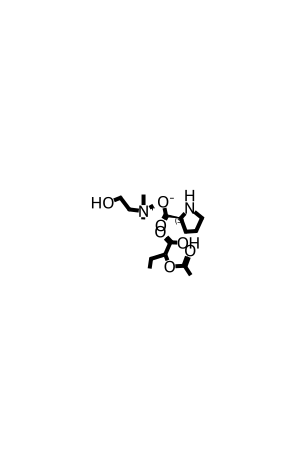 CCC(OC(C)=O)C(=O)O.C[N+](C)(C)CCO.O=C([O-])[C@@H]1CCCN1